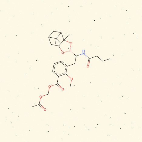 CCCC(=O)NC(Cc1cccc(C(=O)OCOC(C)=O)c1OC)B1OC2CC3CC(C3(C)C)C2(C)O1